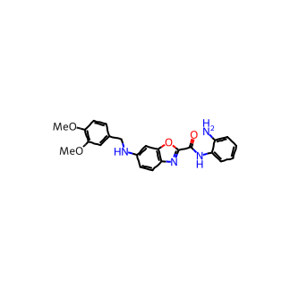 COc1ccc(CNc2ccc3nc(C(=O)Nc4ccccc4N)oc3c2)cc1OC